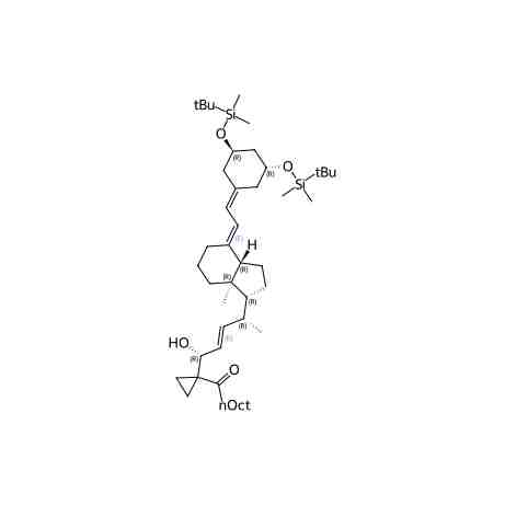 CCCCCCCCC(=O)C1([C@H](O)/C=C/[C@@H](C)[C@H]2CC[C@H]3/C(=C/C=C4C[C@@H](O[Si](C)(C)C(C)(C)C)C[C@H](O[Si](C)(C)C(C)(C)C)C4)CCC[C@]23C)CC1